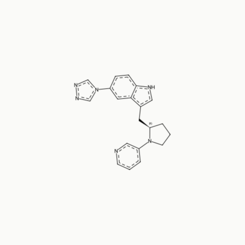 c1cncc(N2CCC[C@@H]2Cc2c[nH]c3ccc(-n4cnnc4)cc23)c1